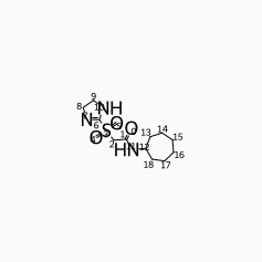 O=C(CS(=O)(=O)C1=NCCN1)NC1CCCCCC1